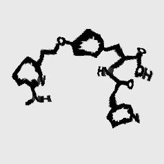 CNc1cccc(CCOc2ccc(C[C@H](NC(=O)Cc3cccnc3)C(=O)O)cc2)n1